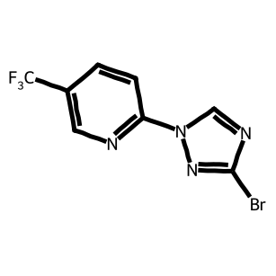 FC(F)(F)c1ccc(-n2cnc(Br)n2)nc1